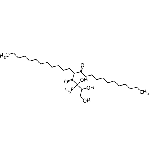 CCCCCCCCCCCCC(C(=O)CCCCCCCCCCC)C(=O)C(O)(P)C(O)CO